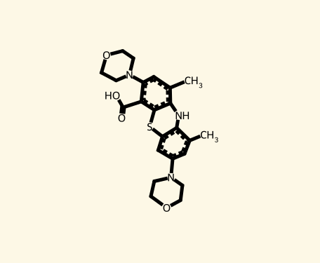 Cc1cc(N2CCOCC2)cc2c1Nc1c(C)cc(N3CCOCC3)c(C(=O)O)c1S2